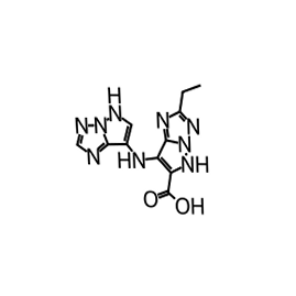 CCc1nc2c(Nc3c[nH]n4ncnc34)c(C(=O)O)[nH]n2n1